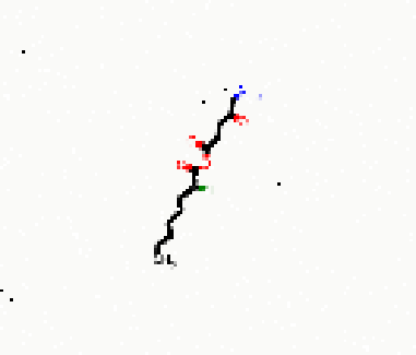 CCCCCCC(Cl)C(=O)OC(=O)CCC(=O)CN